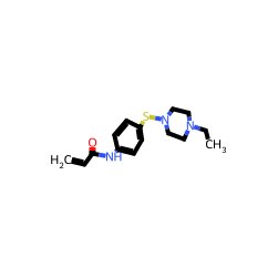 C=CC(=O)Nc1ccc(SN2CCN(CC)CC2)cc1